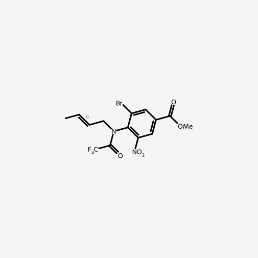 C/C=C/CN(C(=O)C(F)(F)F)c1c(Br)cc(C(=O)OC)cc1[N+](=O)[O-]